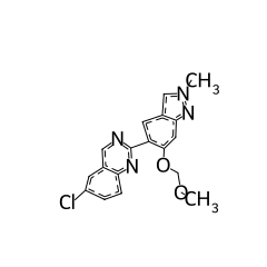 COCOc1cc2nn(C)cc2cc1-c1ncc2cc(Cl)ccc2n1